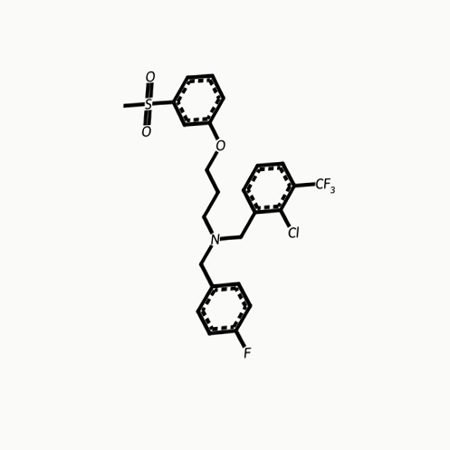 CS(=O)(=O)c1cccc(OCCCN(Cc2ccc(F)cc2)Cc2cccc(C(F)(F)F)c2Cl)c1